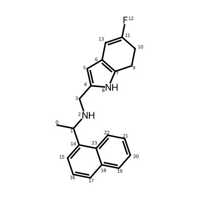 CC(NCc1cc2c([nH]1)CCC(F)=C2)c1cccc2ccccc12